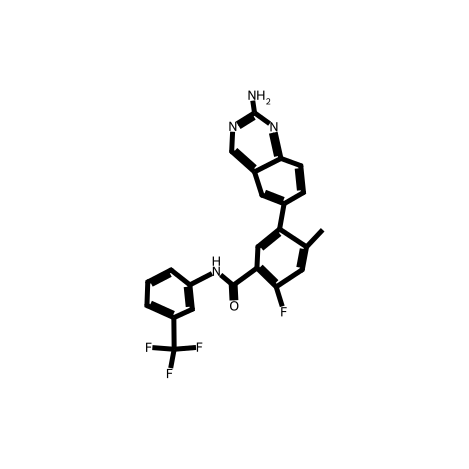 Cc1cc(F)c(C(=O)Nc2cccc(C(F)(F)F)c2)cc1-c1ccc2nc(N)ncc2c1